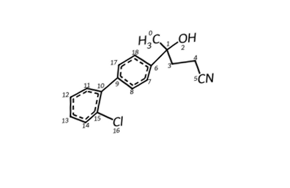 CC(O)(CCC#N)c1ccc(-c2ccccc2Cl)cc1